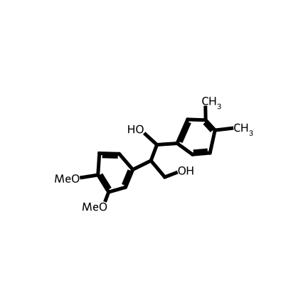 COc1ccc(C(CO)C(O)c2ccc(C)c(C)c2)cc1OC